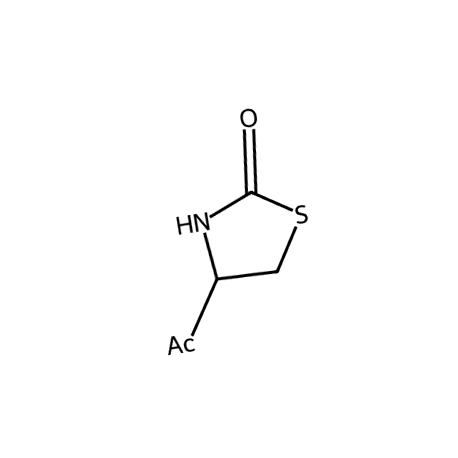 CC(=O)C1CSC(=O)N1